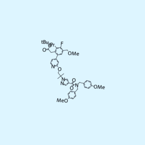 COCc1cc(-c2ccnc(OCC(C)(C)n3cc(S(=O)(=O)N(Cc4ccc(OC)cc4)Cc4ccc(OC)cc4)cn3)c2)c(CC(=O)OC(C)(C)C)c(C(C)C)c1F